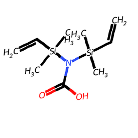 C=C[Si](C)(C)N(C(=O)O)[Si](C)(C)C=C